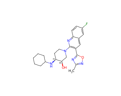 Cc1noc(-c2cc3cc(F)ccc3nc2N2CC[C@H](NC3CCCCC3)[C@H](O)C2)n1